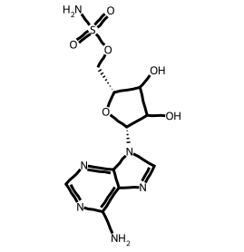 Nc1ncnc2c1ncn2[C@@H]1O[C@H](COS(N)(=O)=O)C(O)C1O